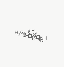 CCc1cc(S(=O)(=O)c2ccc3[nH]ncc3c2)ccc1C1CCN(C)C1